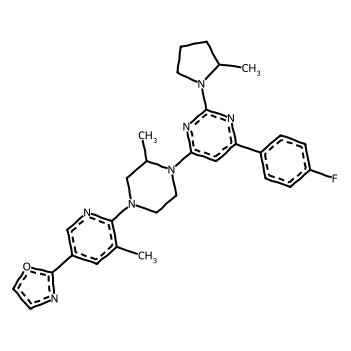 Cc1cc(-c2ncco2)cnc1N1CCN(c2cc(-c3ccc(F)cc3)nc(N3CCCC3C)n2)C(C)C1